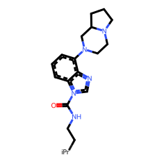 CC(C)CCNC(=O)n1cnc2c(N3CCN4CCCC4C3)cccc21